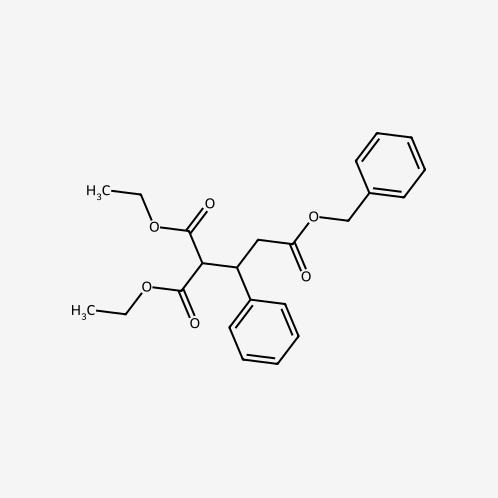 CCOC(=O)C(C(=O)OCC)C(CC(=O)OCc1ccccc1)c1ccccc1